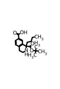 CCCCC1(C(=O)OC(C)(C)C)NCCc2ccc(C(=O)O)cc21